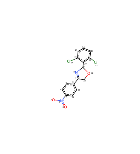 O=[N+]([O-])c1ccc(C2=NC(c3c(Cl)cccc3Cl)OC2)cc1